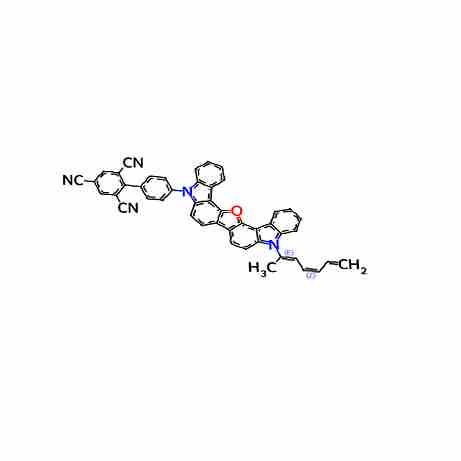 C=C/C=C\C=C(/C)n1c2ccccc2c2c3oc4c(ccc5c4c4ccccc4n5-c4ccc(-c5c(C#N)cc(C#N)cc5C#N)cc4)c3ccc21